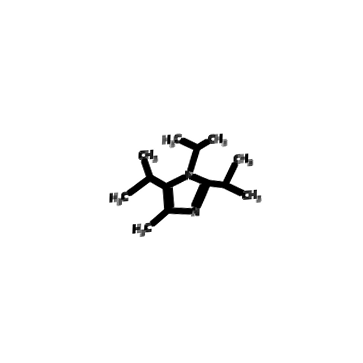 Cc1nc(C(C)C)n(C(C)C)c1C(C)C